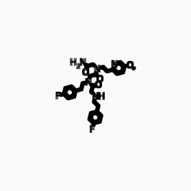 COc1ccc(CCN(CC(N)=O)C(=O)CN(CCc2ccc(F)cc2)C(=O)CNCCc2ccc(F)cc2)nc1